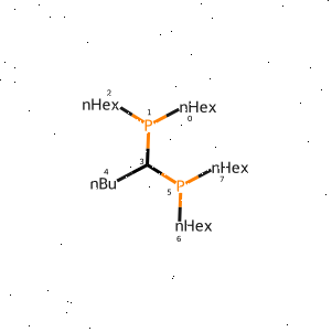 CCCCCCP(CCCCCC)C(CCCC)P(CCCCCC)CCCCCC